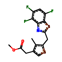 COC(=O)Cc1csc(Cc2nc3c(F)c(F)cc(F)c3s2)c1C